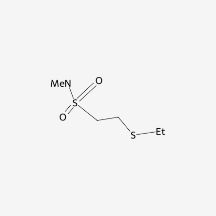 CCSCCS(=O)(=O)NC